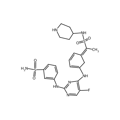 C/C(=C1/C=CC=C(Nc2nc(Nc3cccc(S(N)(=O)=O)c3)ncc2F)C1)S(=O)(=O)NC1CCNCC1